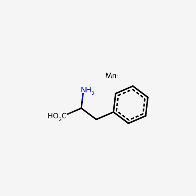 NC(Cc1ccccc1)C(=O)O.[Mn]